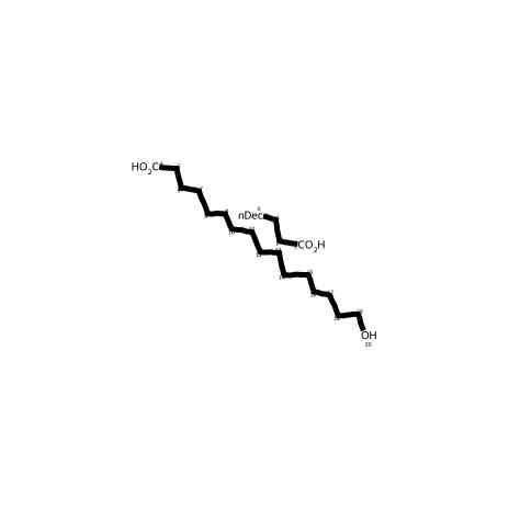 CCCCCCCCCCCCC(=O)O.O=C(O)CCCCCCCCCCCCCCCO